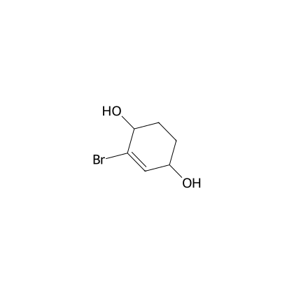 OC1C=C(Br)C(O)CC1